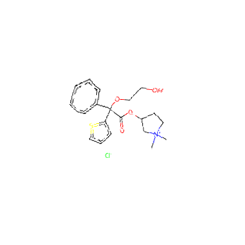 C[N+]1(C)CCC(OC(=O)C(OCCO)(c2ccccc2)c2cccs2)C1.[Cl-]